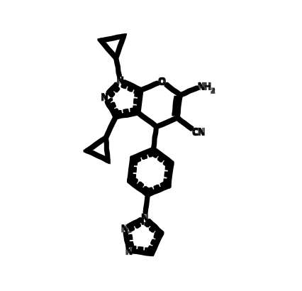 N#CC1=C(N)Oc2c(c(C3CC3)nn2C2CC2)C1c1ccc(-n2ccnn2)cc1